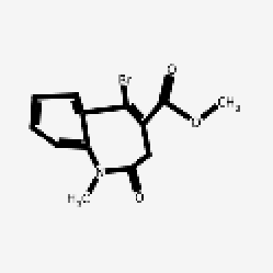 COC(=O)C1=C(Br)c2ccccc2N(C)C(=O)C1